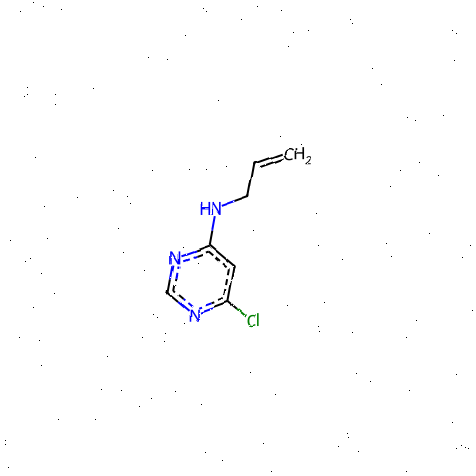 C=CCNc1cc(Cl)ncn1